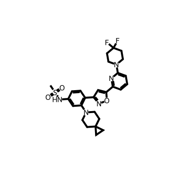 CS(=O)(=O)Nc1ccc(-c2cc(-c3cccc(N4CCC(F)(F)CC4)n3)on2)c(N2CCC3(CC2)CC3)c1